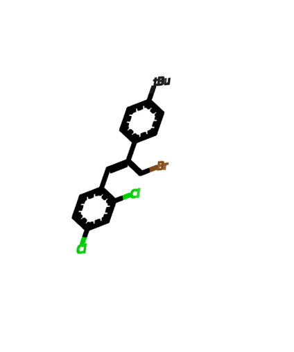 CC(C)(C)c1ccc(C(=Cc2ccc(Cl)cc2Cl)CBr)cc1